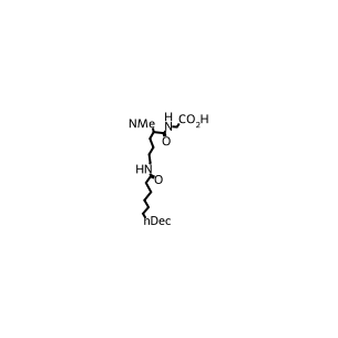 CCCCCCCCCCCCCCCC(=O)NCCCCC(NC)C(=O)NCC(=O)O